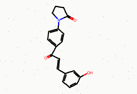 O=C(/C=C/c1cccc(O)c1)c1ccc(N2CCCC2=O)cc1